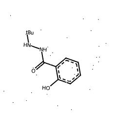 CC(C)(C)NNC(=O)c1ccccc1O